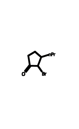 CCCC1CCC(=O)C1Br